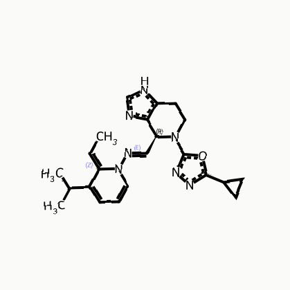 C/C=C1/C(C(C)C)=CC=CN1/N=C/[C@H]1c2nc[nH]c2CCN1c1nnc(C2CC2)o1